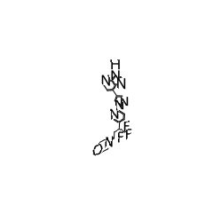 FC(F)(F)C(CCN1CCOCC1)c1ccc(-n2cc(-c3ccnc4[nH]cnc34)cn2)nc1